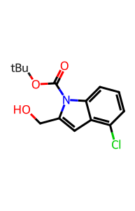 CC(C)(C)OC(=O)n1c(CO)cc2c(Cl)cccc21